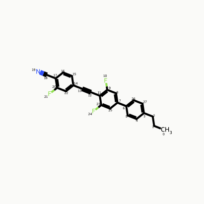 CCCc1ccc(-c2cc(F)c(C#Cc3ccc(C#N)c(F)c3)c(F)c2)cc1